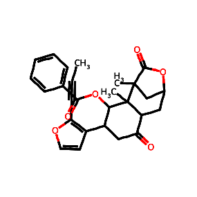 CC#Cc1occc1C1CC(=O)C2CC3CC(C)(C(=O)O3)C2(C)C1OC(=O)c1ccccc1